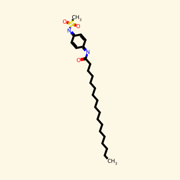 CCCCCCCCCCCCCCCCCC(=O)N=C1C=CC(=NS(C)(=O)=O)C=C1